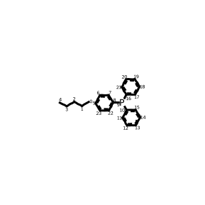 CCCCC.c1ccc(P(c2ccccc2)c2ccccc2)cc1